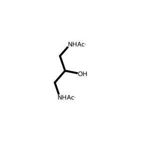 CC(=O)[N]CC(O)C[N]C(C)=O